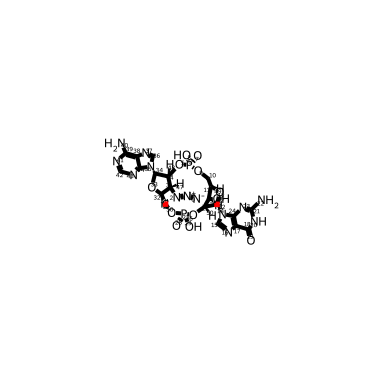 [N-]=[N+]=N[C@H]1[C@H]2OP(=O)(O)OC[C@H]3O[C@@H](n4cnc5c(=O)[nH]c(N)nc54)[C@H](OP(=O)(O)OC[C@H]1O[C@H]2n1cnc2c(N)ncnc21)[C@@H]3O